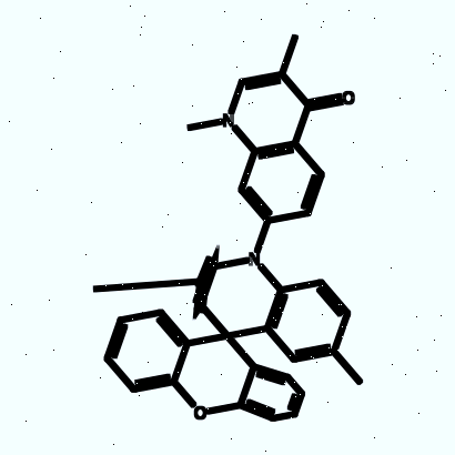 Cc1ccc2c(c1)C1(c3ccccc3Oc3ccccc31)c1cc(C)ccc1N2c1ccc2c(=O)c(C)cn(C)c2c1